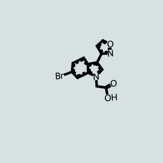 O=C(O)Cn1cc(-c2ccon2)c2ccc(Br)cc21